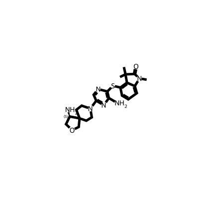 CN1C(=O)C(C)(C)c2c(Sc3ncc(N4CCC5(CC4)COC[C@H]5N)nc3N)cccc21